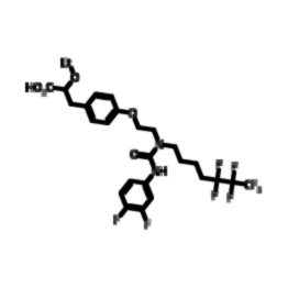 CCOC(Cc1ccc(OCCN(CCCCC(F)(F)C(F)(F)C(F)(F)F)C(=O)Nc2ccc(F)c(F)c2)cc1)C(=O)O